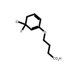 O=C(O)CCCOC1=CC(F)(Cl)[CH]C=C1